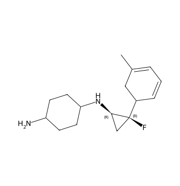 CC1=CC=CC([C@]2(F)C[C@H]2NC2CCC(N)CC2)C1